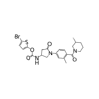 Cc1cc(N2CC(NC(=O)Oc3ccc(Br)s3)CC2=O)ccc1C(=O)N1CCCC(C)C1